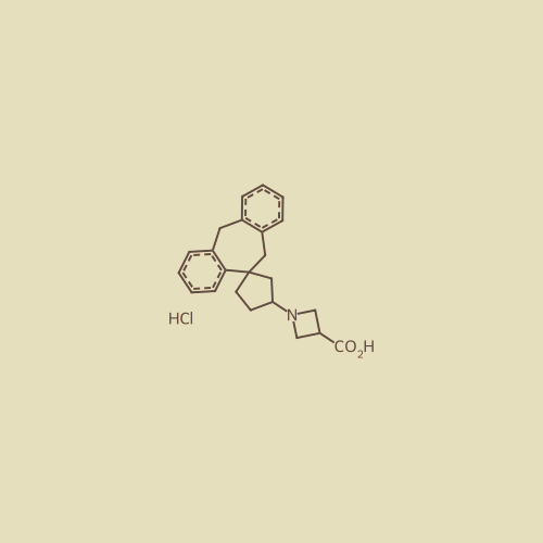 Cl.O=C(O)C1CN(C2CCC3(Cc4ccccc4Cc4ccccc43)C2)C1